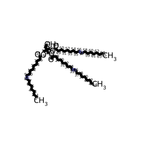 CCCCCCCC/C=C\CCCCCCCC(=O)OCC(CO)(COC(=O)CCCCCCC/C=C/CCCCCCCC)COC(=O)CCCCCCC/C=C/CCCCCCCC